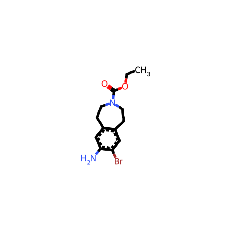 CCOC(=O)N1CCc2cc(N)c(Br)cc2CC1